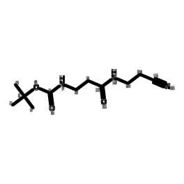 CC(C)(C)OC(=O)NCCC(=O)NCCC#N